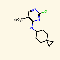 CCOC(=O)c1cnc(Cl)nc1NC1CCC2(CC1)CC2